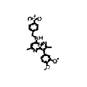 COc1ccc(-c2c(C)nn3c(NCc4ccc(S(C)(=O)=O)cc4)cc(C)nc23)cc1OC